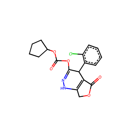 O=C(OC1=NNC2=C(C(=O)OC2)C1c1ccccc1Cl)OC1CCCC1